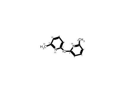 Cc1cccc(Oc2cccc(C)n2)n1